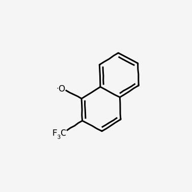 [O]c1c(C(F)(F)F)ccc2ccccc12